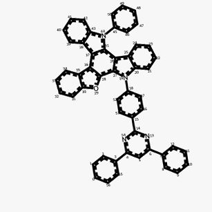 c1ccc(-c2cc(-c3ccccc3)nc(-c3ccc(-n4c5ccccc5c5c4c4oc6ccccc6c4c4c6ccccc6n(-c6ccccc6)c45)cc3)n2)cc1